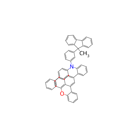 CC1(c2cccc(N(c3ccc(-c4ccccc4)cc3)c3ccccc3-c3cc4c5c(cccc5c3)Oc3ccccc3-4)c2)c2ccccc2-c2ccccc21